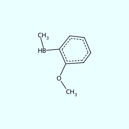 CBc1ccccc1OC